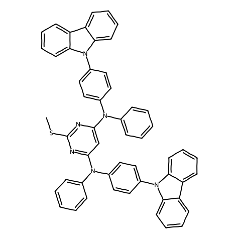 CSc1nc(N(c2ccccc2)c2ccc(-n3c4ccccc4c4ccccc43)cc2)cc(N(c2ccccc2)c2ccc(-n3c4ccccc4c4ccccc43)cc2)n1